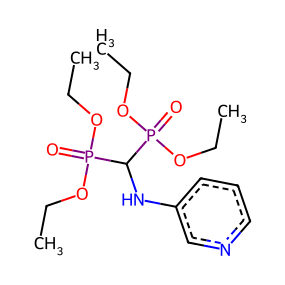 CCOP(=O)(OCC)C(Nc1cccnc1)P(=O)(OCC)OCC